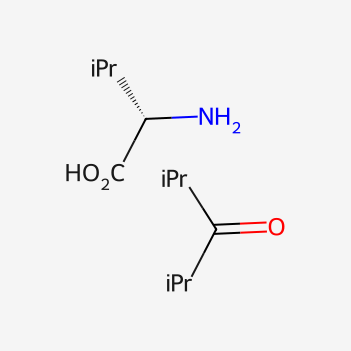 CC(C)C(=O)C(C)C.CC(C)[C@H](N)C(=O)O